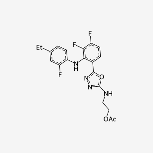 CCc1ccc(Nc2c(-c3nnc(NCCOC(C)=O)o3)ccc(F)c2F)c(F)c1